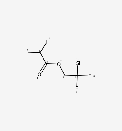 CC(I)C(=O)OCC(F)(F)S